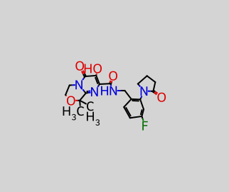 CC1(C)OCCn2c1nc(C(=O)NCc1ccc(F)cc1N1CCCC1=O)c(O)c2=O